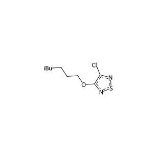 CCC(C)CCCOc1nsnc1Cl